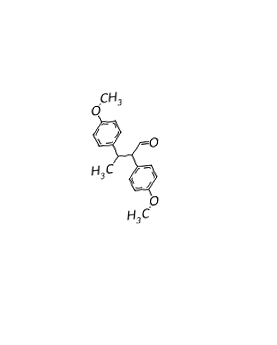 COc1ccc(C(C)C(C=O)c2ccc(OC)cc2)cc1